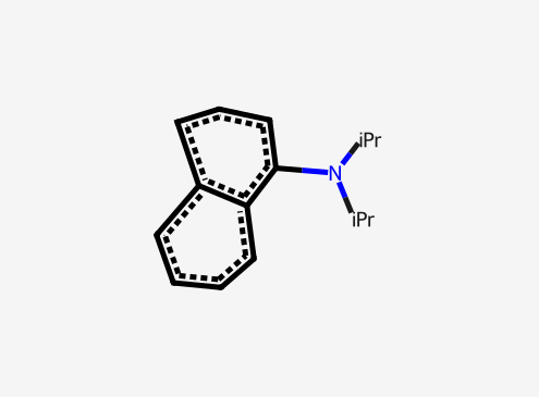 CC(C)N(c1cccc2ccccc12)C(C)C